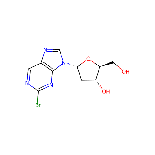 OC[C@@H]1O[C@@H](n2cnc3cnc(Br)nc32)C[C@H]1O